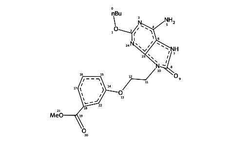 CCCCOc1nc(N)c2[nH]c(=O)n(CCOc3cccc(C(=O)OC)c3)c2n1